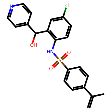 C=C(C)c1ccc(S(=O)(=O)Nc2ccc(Cl)cc2C(O)c2ccncc2)cc1